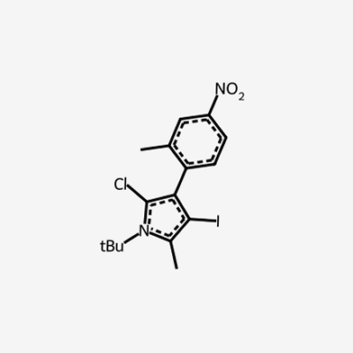 Cc1cc([N+](=O)[O-])ccc1-c1c(I)c(C)n(C(C)(C)C)c1Cl